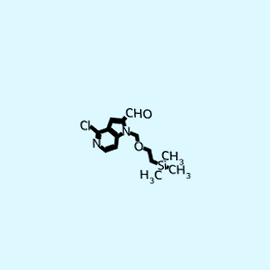 C[Si](C)(C)CCOCn1c(C=O)cc2c(Cl)nccc21